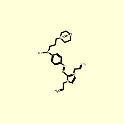 C=CCn1cc[n+](CC=C)c1/N=N/c1ccc(N(CCC)CCC[N+]23CCN(CC2)CC3)cc1